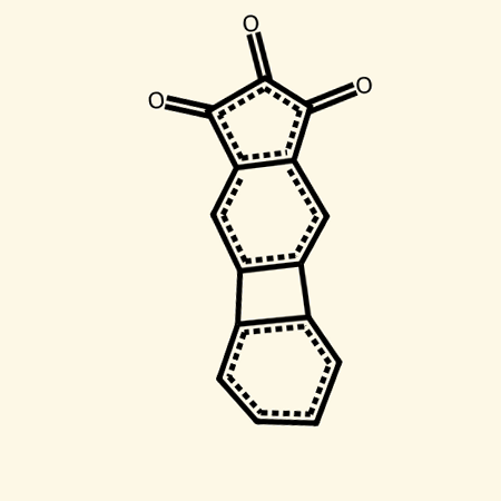 O=c1c(=O)c2cc3c(cc2c1=O)-c1ccccc1-3